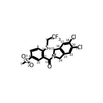 CS(=O)(=O)c1ccc(SCC(F)(F)F)c(C(=O)N2Cc3cc(Cl)c(Cl)cc3C2)c1